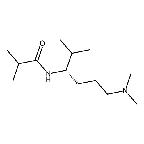 CC(C)C(=O)N[C@@H](CCCN(C)C)C(C)C